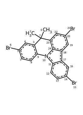 CC1(C)c2cc(Br)ccc2-n2c3ccc(Br)cc3c3cc(Br)cc1c32